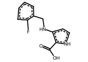 O=C(O)c1[nH]ccc1NCc1ccccc1F